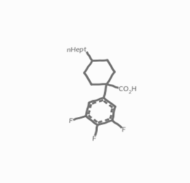 CCCCCCCC1CCC(C(=O)O)(c2cc(F)c(F)c(F)c2)CC1